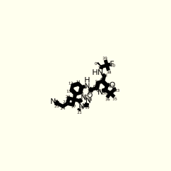 C[C@H](NCc1cc(C(=O)Nc2cccc(C3(c4nncn4C)CC(CC#N)C3)c2)nc2c1OCC2(C)C)C(C)(C)F